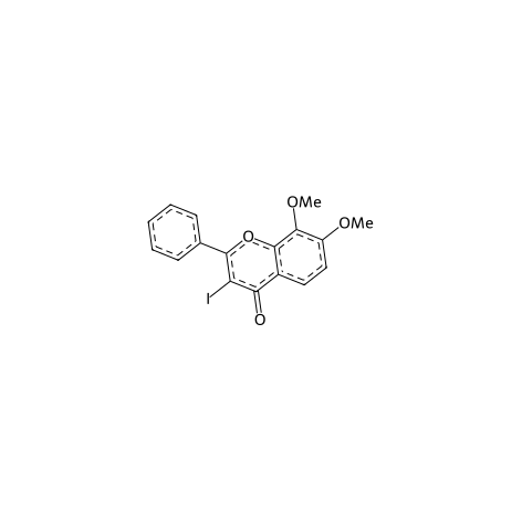 COc1ccc2c(=O)c(I)c(-c3ccccc3)oc2c1OC